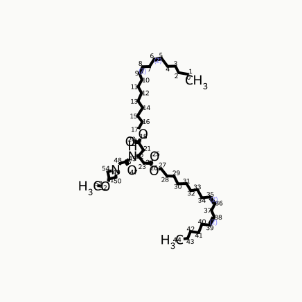 CCCCC/C=C\C/C=C\CCCCCCCCOC(=O)CC(CC(=O)OCCCCCCCC/C=C\C/C=C\CCCCC)NC(=O)CN1CC(OC)C1